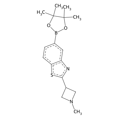 CN1CC(c2nc3cc(B4OC(C)(C)C(C)(C)O4)ccc3s2)C1